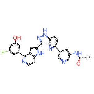 CC(C)C(=O)Nc1cncc(-c2ccc3[nH]nc(-c4cc5c(-c6cc(O)cc(F)c6)nccc5[nH]4)c3n2)c1